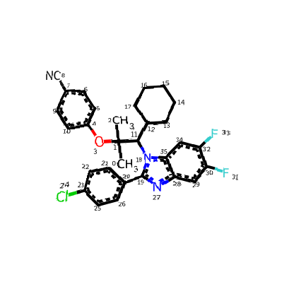 CC(C)(Oc1ccc(C#N)cc1)C(C1CCCCC1)n1c(-c2ccc(Cl)cc2)nc2cc(F)c(F)cc21